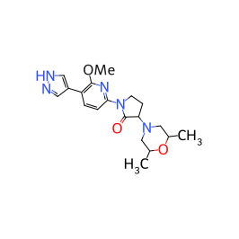 COc1nc(N2CCC(N3CC(C)OC(C)C3)C2=O)ccc1-c1cn[nH]c1